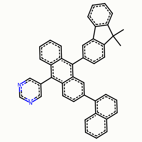 CC1(C)c2ccccc2-c2cc(-c3c4ccccc4c(-c4cncnc4)c4ccc(-c5cccc6ccccc56)cc34)ccc21